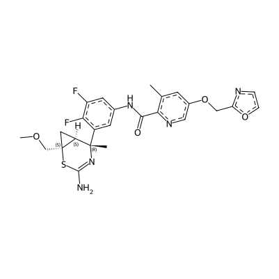 COC[C@]12C[C@H]1[C@](C)(c1cc(NC(=O)c3ncc(OCc4ncco4)cc3C)cc(F)c1F)N=C(N)S2